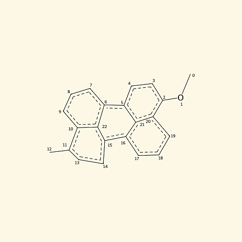 COc1ccc2c3cccc4c(C)ccc(c5cccc1c52)c43